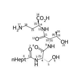 CCCCCCCC(=O)N[C@@H](CO)C(=O)N[C@H](C(=O)N[C@@H](CCN)C(=O)O)[C@@H](C)O